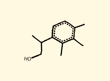 C[C](CO)c1ccc(C)c(C)c1C